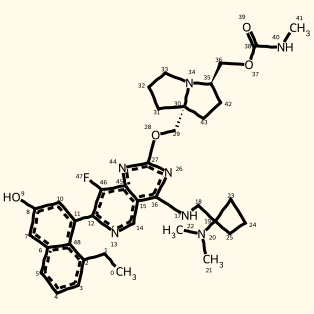 CCc1cccc2cc(O)cc(-c3ncc4c(NCC5(N(C)C)CCC5)nc(OC[C@]56CCCN5[C@@H](COC(=O)NC)CC6)nc4c3F)c12